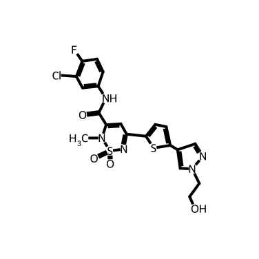 CN1C(C(=O)Nc2ccc(F)c(Cl)c2)=CC(c2ccc(-c3cnn(CCO)c3)s2)=NS1(=O)=O